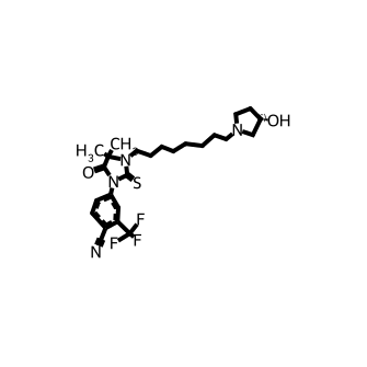 CC1(C)C(=O)N(c2ccc(C#N)c(C(F)(F)F)c2)C(=S)N1CCCCCCCCN1CC[C@H](O)C1